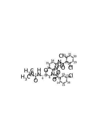 CN(C)C(=O)NC[C@H]1CN(S(=O)(=O)c2cccc(Cl)c2)c2nc(NC(=O)c3c(Cl)cccc3Cl)ccc2O1